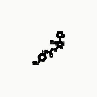 CCn1c(SCC(=O)Nc2ccc(C(C)(C)C)cc2)nnc1C1CC=CO1